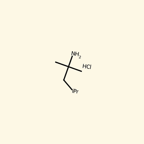 CC(C)CC(C)(C)N.Cl